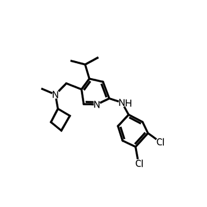 CC(C)c1cc(Nc2ccc(Cl)c(Cl)c2)ncc1CN(C)C1CCC1